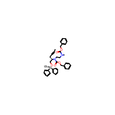 CC#CC[C@H](CO[Si](c1ccccc1)(c1ccccc1)C(C)(C)C)N(CCN(C)C(=O)OCc1ccccc1)C(=O)OCc1ccccc1